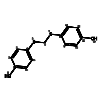 Oc1ccc(SCSc2ccc(O)cc2)cc1